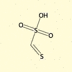 O=S(=O)(O)C=S